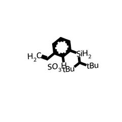 C=Cc1cccc([SiH2]C(C(C)(C)C)C(C)(C)C)c1S(=O)(=O)O